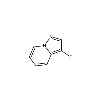 Fc1cnn2ccccc12